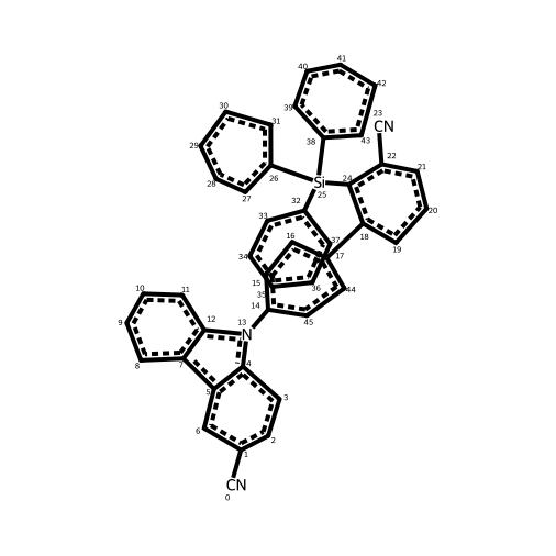 N#Cc1ccc2c(c1)c1ccccc1n2-c1ccc(-c2cccc(C#N)c2[Si](c2ccccc2)(c2ccccc2)c2ccccc2)cc1